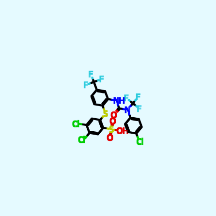 O=C(Nc1cc(C(F)(F)F)ccc1Sc1cc(Cl)c(Cl)cc1S(=O)(=O)O)N(c1ccc(Cl)cc1)C(F)(F)F